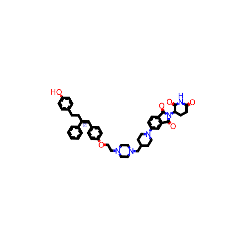 O=C1CCC(N2C(=O)c3ccc(N4CCC(CN5CCN(CCOc6ccc(/C=C(/CCc7ccc(O)cc7)c7ccccc7)cc6)CC5)CC4)cc3C2=O)C(=O)N1